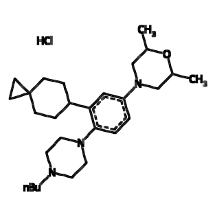 CCCCN1CCN(c2ccc(N3CC(C)OC(C)C3)cc2C2CCC3(CC2)CC3)CC1.Cl